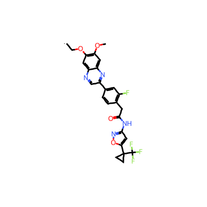 [CH2]COc1cc2ncc(-c3ccc(CC(=O)Nc4cc(C5(C(F)(F)F)CC5)on4)c(F)c3)nc2cc1OC